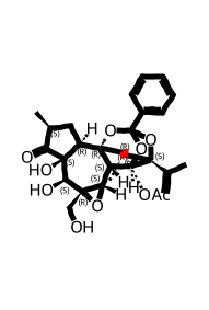 C=C(C)[C@@]12OC3(c4ccccc4)O[C@@H]1[C@@H]1[C@@H]4O[C@]4(CO)[C@@H](O)[C@]4(O)C(=O)[C@@H](C)C[C@H]4[C@@]1(O3)[C@H](C)[C@H]2OC(C)=O